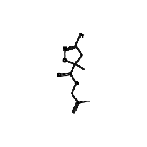 C=C(C)COC(=O)C1(C)CC(C(C)C)=NO1